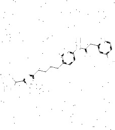 CNC(O)c1nnc(CCCCc2ccc(NC(=O)Cc3cc(C(F)(F)F)ccn3)nn2)s1